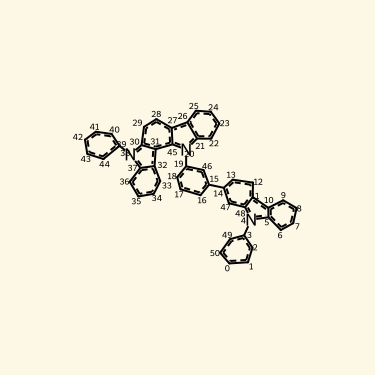 c1ccc(-n2c3ccccc3c3ccc(-c4cccc(-n5c6ccccc6c6ccc7c(c8ccccc8n7-c7ccccc7)c65)c4)cc32)cc1